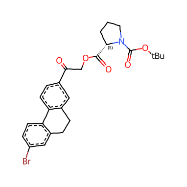 CC(C)(C)OC(=O)N1CCC[C@H]1C(=O)OCC(=O)c1ccc2c(c1)CCc1cc(Br)ccc1-2